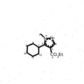 CCOC(=O)c1cnn(C)c1C1CCCCC1